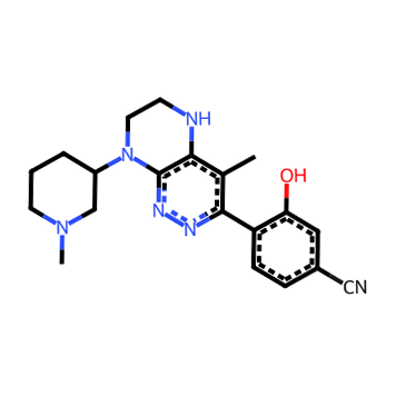 Cc1c(-c2ccc(C#N)cc2O)nnc2c1NCCN2C1CCCN(C)C1